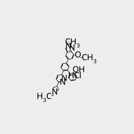 CCOc1cc(-c2ccc(-c3ccc(C4CN(CC)C4)nn3)c(-c3ccccc3O)c2)cc2cn(C)nc12.Cl